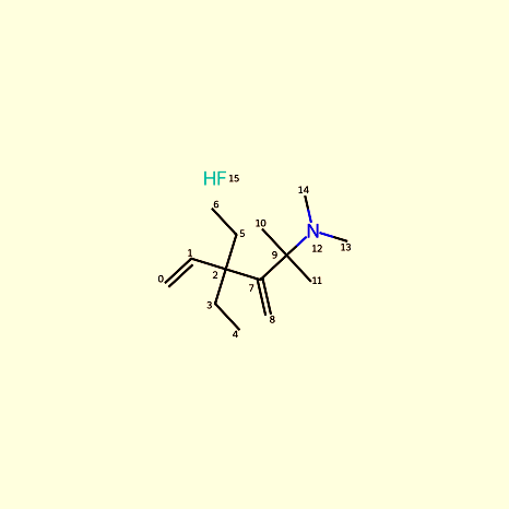 C=CC(CC)(CC)C(=C)C(C)(C)N(C)C.F